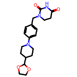 O=C1CCN(Cc2ccc(N3CCC(C4OCCO4)CC3)cc2)C(=O)N1